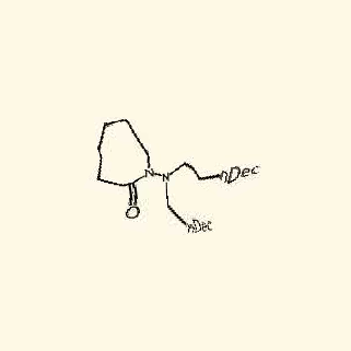 CCCCCCCCCCCCN(CCCCCCCCCCC)N1CCCCCC1=O